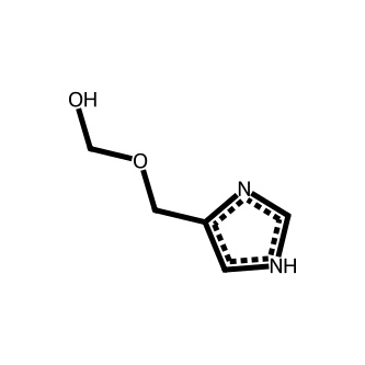 OCOCc1c[nH]cn1